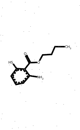 CCCCOC(=O)c1c(N)cccc1S